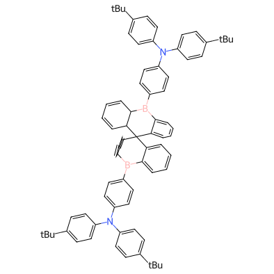 CC(C)(C)c1ccc(N(c2ccc(B3c4ccccc4C4(c5ccccc5B(c5ccc(N(c6ccc(C(C)(C)C)cc6)c6ccc(C(C)(C)C)cc6)cc5)C5C=CC=CC54)C4C=CC=CC34)cc2)c2ccc(C(C)(C)C)cc2)cc1